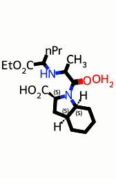 CCCC(NC(C)C(=O)N1[C@H](C(=O)O)C[C@@H]2CCCC[C@@H]21)C(=O)OCC.O